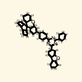 c1ccc(-c2nc(-c3ccc(-c4ccc5c(c4)Oc4ccccc4C54c5ccccc5-c5ccccc54)cc3)nc(-c3ccc4c(c3)oc3ccccc34)n2)cc1